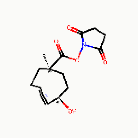 C[C@@]1(C(=O)ON2C(=O)CCC2=O)CC/C=C/[C@H](O)CC1